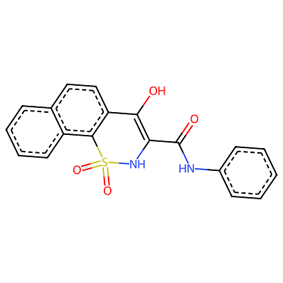 O=C(Nc1ccccc1)C1=C(O)c2ccc3ccccc3c2S(=O)(=O)N1